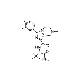 CNC(=O)C(NC(=O)c1nc(-c2ccc(F)c(F)c2)n2c1CN(C)CC2)C(C)(C)C